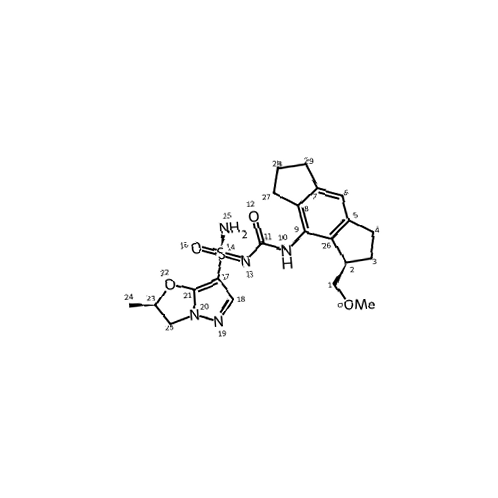 COC[C@@H]1CCc2cc3c(c(NC(=O)N=[S@@](N)(=O)c4cnn5c4O[C@H](C)C5)c21)CCC3